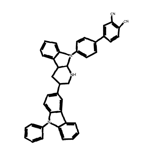 N#Cc1ccc(-c2ccc(N3c4ccccc4C4CC(c5ccc6c(c5)c5ccccc5n6-c5ccccc5)CNC43)cc2)cc1C#N